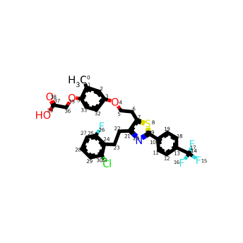 Cc1cc(OCCc2sc(-c3ccc(C(F)(F)F)cc3)nc2CCc2c(F)cccc2Cl)ccc1OCC(=O)O